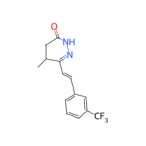 CC1CC(=O)NN=C1C=Cc1cccc(C(F)(F)F)c1